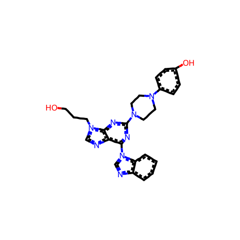 OCCCn1cnc2c(-n3cnc4ccccc43)nc(N3CCN(c4ccc(O)cc4)CC3)nc21